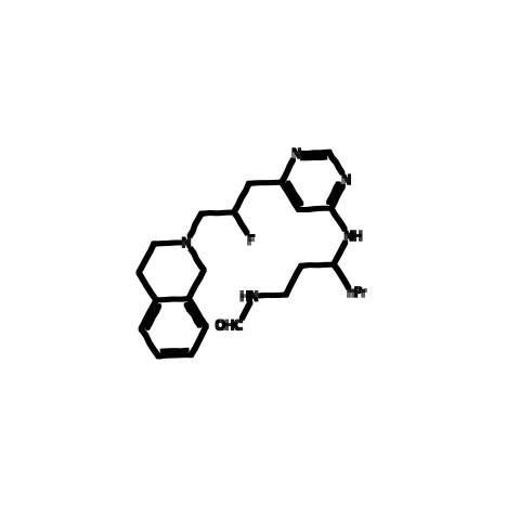 CCCC(CCNC=O)Nc1cc(CC(F)CN2CCc3ccccc3C2)ncn1